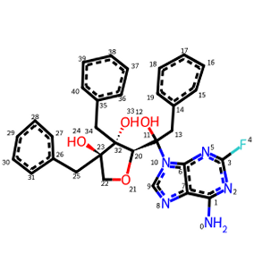 Nc1nc(F)nc2c1ncn2C(O)(Cc1ccccc1)[C@H]1OC[C@](O)(Cc2ccccc2)[C@@]1(O)Cc1ccccc1